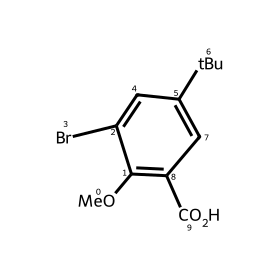 COc1c(Br)cc(C(C)(C)C)cc1C(=O)O